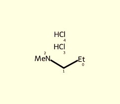 CCCNC.Cl.Cl